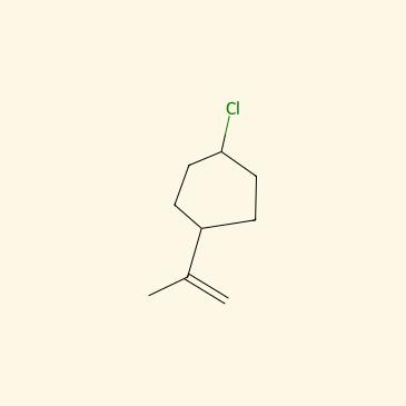 C=C(C)C1CCC(Cl)CC1